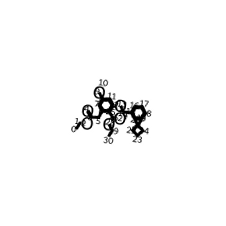 CCOC(=O)Cc1cc(OC)cc(OCc2cccc3c2C32CCC2)c1C(=O)OCC